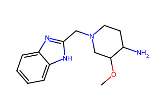 COC1CN(Cc2nc3ccccc3[nH]2)CCC1N